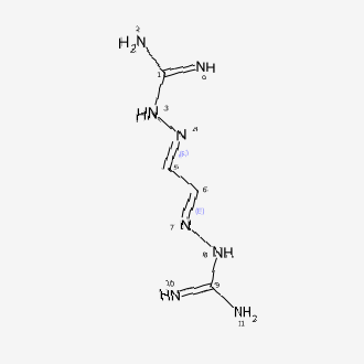 N=C(N)N/N=C/C=N/NC(=N)N